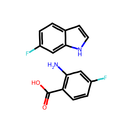 Fc1ccc2cc[nH]c2c1.Nc1cc(F)ccc1C(=O)O